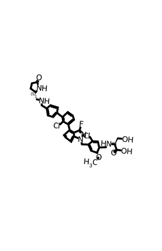 COC1C=C(Cn2nc(F)c3c(-c4cccc(-c5ccc(CNC[C@@H]6CCC(=O)N6)cc5)c4Cl)cccc32)C(Cl)=CC1CN[C@@H](CO)C(=O)O